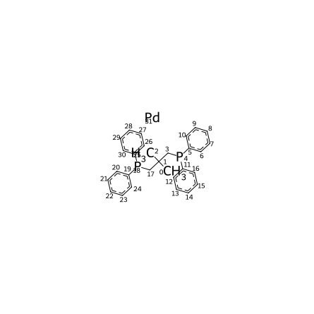 CC(C)(CP(c1ccccc1)c1ccccc1)CP(c1ccccc1)c1ccccc1.[Pd]